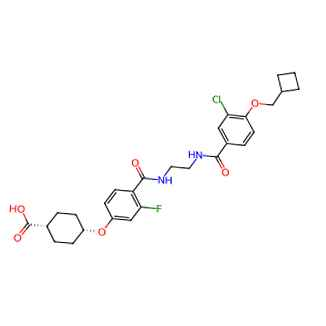 O=C(NCCNC(=O)c1ccc(O[C@H]2CC[C@@H](C(=O)O)CC2)cc1F)c1ccc(OCC2CCC2)c(Cl)c1